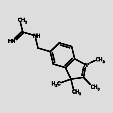 CC(=N)NCc1ccc2c(c1)C(C)(C)C(C)=[N+]2C